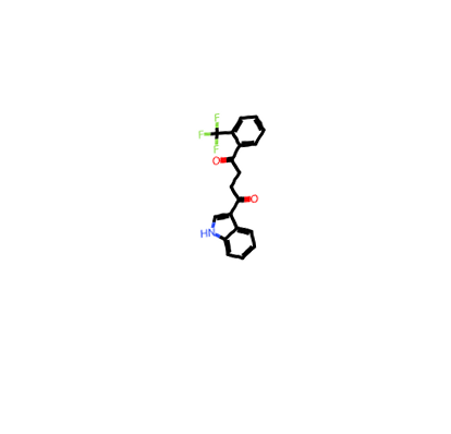 O=C(CCC(=O)c1c[nH]c2ccccc12)c1ccccc1C(F)(F)F